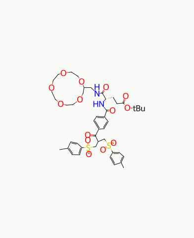 Cc1ccc(S(=O)(=O)CC(CS(=O)(=O)c2ccc(C)cc2)C(=O)c2ccc(C(=O)N[C@@H](CCC(=O)OC(C)(C)C)C(=O)NCC3COCCOCCOCCOCCO3)cc2)cc1